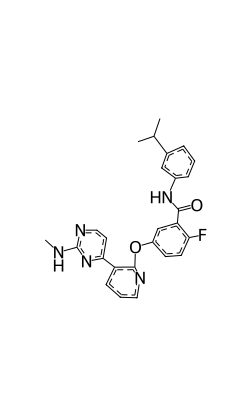 CNc1nccc(-c2cccnc2Oc2ccc(F)c(C(=O)Nc3cccc(C(C)C)c3)c2)n1